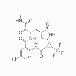 CNC(=O)C(=O)[C@H](C[C@@H]1C[C@@H](C)NC1=O)NC(=O)c1cc(Cl)ccc1NC(=O)C1CC1C(F)(F)F